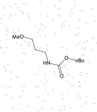 [CH2]OCCCNC(=O)OCCCC